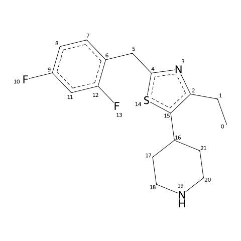 CCc1nc(Cc2ccc(F)cc2F)sc1C1CCNCC1